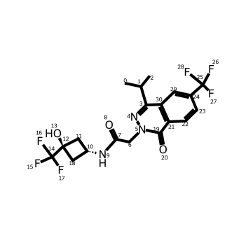 CC(C)c1nn(CC(=O)N[C@H]2C[C@@](O)(C(F)(F)F)C2)c(=O)c2ccc(C(F)(F)F)cc12